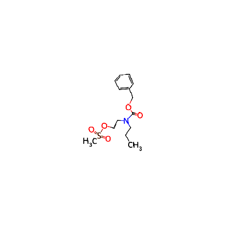 CCCN(CCOS(C)(=O)=O)C(=O)OCc1ccccc1